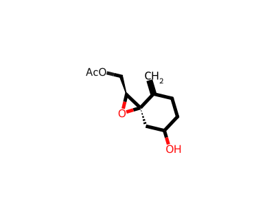 C=C1CCC(O)C[C@@]12O[C@H]2COC(C)=O